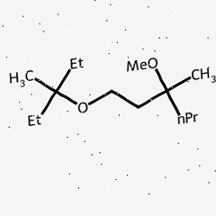 CCCC(C)(CCOC(C)(CC)CC)OC